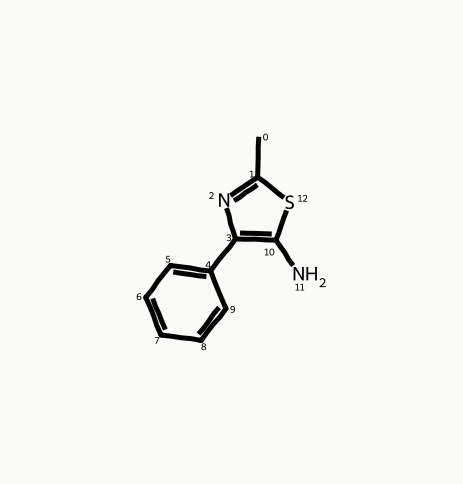 Cc1nc(-c2ccccc2)c(N)s1